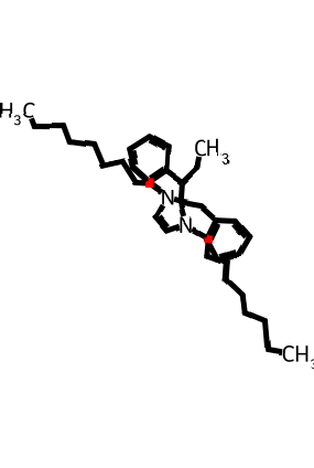 CCCCCCCCCN1C=CN(CCCCCCCCC)C1(Cc1ccccc1)C(CC)c1ccccc1